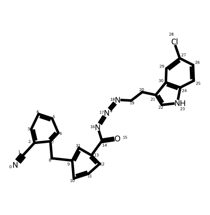 N#Cc1ccccc1Cc1cccc(C(=O)N=[N+]=NCCc2c[nH]c3ccc(Cl)cc23)c1